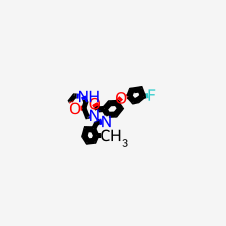 Cc1ccccc1-c1nc2ccc(Oc3ccc(F)cc3)cc2c(=O)n1CC1CNCCO1